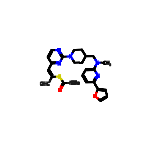 CNC(=O)S/C(C=O)=C\c1ccnc(N2CCC(CN(C)c3cccc(-c4ccco4)n3)CC2)n1